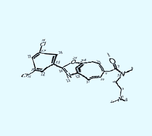 CN(C)CCN(C)C(=O)c1ccc2nc(-c3cc(Cl)cc(Cl)c3)oc2c1